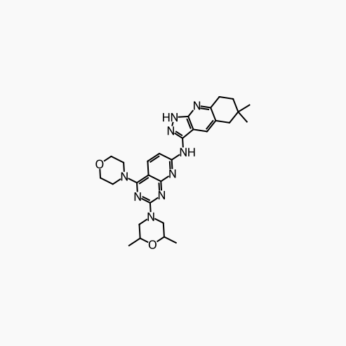 CC1CN(c2nc(N3CCOCC3)c3ccc(Nc4n[nH]c5nc6c(cc45)CC(C)(C)CC6)nc3n2)CC(C)O1